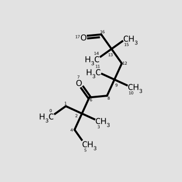 CCC(C)(CC)C(=O)CC(C)(C)CC(C)(C)C=O